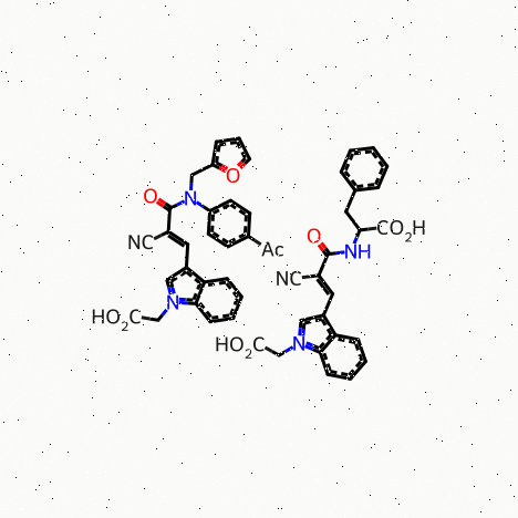 CC(=O)c1ccc(N(Cc2ccco2)C(=O)/C(C#N)=C/c2cn(CC(=O)O)c3ccccc23)cc1.N#C/C(=C\c1cn(CC(=O)O)c2ccccc12)C(=O)NC(Cc1ccccc1)C(=O)O